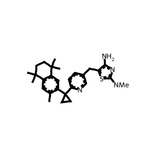 CNc1nc(N)c(Cc2ccc(C3(c4cc5c(cc4C)C(C)(C)CCC5(C)C)CC3)nc2)s1